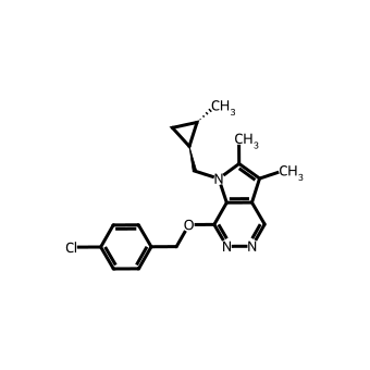 Cc1c(C)n(C[C@H]2C[C@@H]2C)c2c(OCc3ccc(Cl)cc3)nncc12